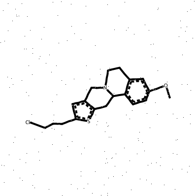 COc1ccc2c(c1)CCN1Cc3cc(CCCCl)sc3CC21